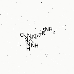 CNc1nc(Cl)nc(N2CC3(CC(N(C)SN)C3)C2)c1C=N